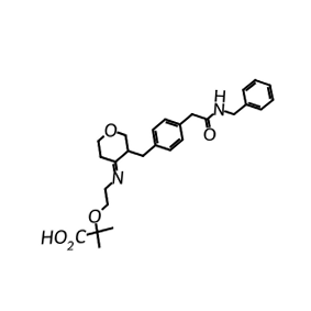 CC(C)(OCC/N=C1\CCOCC1Cc1ccc(CC(=O)NCc2ccccc2)cc1)C(=O)O